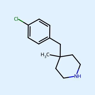 CC1(Cc2ccc(Cl)cc2)CCNCC1